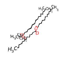 CC(C)CCCCCCCCCCCCCCCOC(=O)C(C)(C)C.CCCCCCCCCCCCCCOC(=O)CCCCCCCCCCCCC